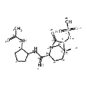 CC(=O)NC1CCCC1NC(=N)[C@@H]1CC[C@@H]2CN1C(=O)N2OS(=O)(=O)O